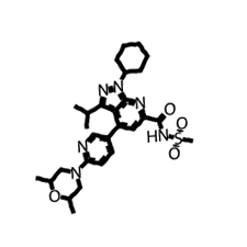 CC1CN(c2ccc(-c3cc(C(=O)NS(C)(=O)=O)nc4c3c(C(C)C)nn4C3CCCCC3)cn2)CC(C)O1